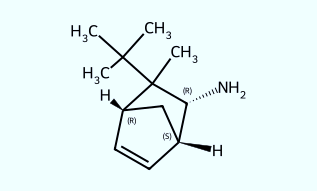 CC(C)(C)C1(C)[C@H](N)[C@@H]2C=C[C@H]1C2